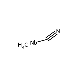 C.N#[C][Nb]